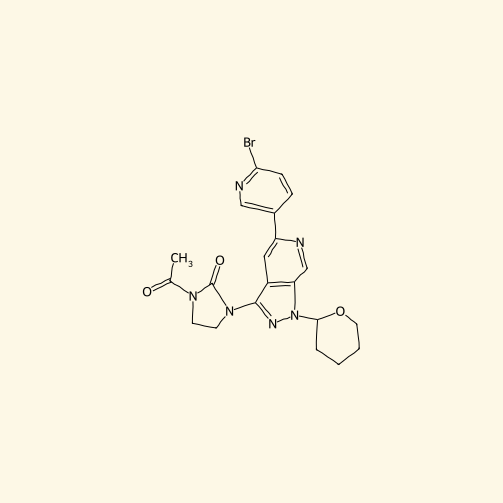 CC(=O)N1CCN(c2nn(C3CCCCO3)c3cnc(-c4ccc(Br)nc4)cc23)C1=O